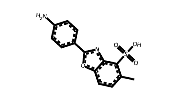 Cc1ccc2oc(-c3ccc(N)cc3)nc2c1S(=O)(=O)O